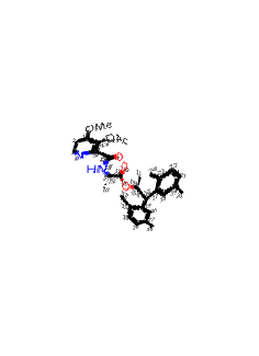 COc1ccnc(C(=O)N[C@@H](C)C(=O)O[C@@H](C)C(c2cc(C)ccc2C)c2cc(C)ccc2C)c1OC(C)=O